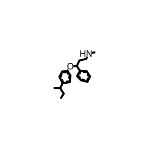 CCC(C)c1ccc(OC(CCNC)c2ccccc2)cc1